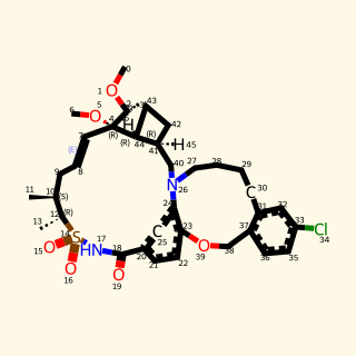 CO[C@H](C)[C@]1(OC)/C=C/C[C@H](C)[C@@H](C)S(=O)(=O)NC(=O)c2ccc3c(c2)N(CCCCc2cc(Cl)ccc2CO3)C[C@@H]2CC[C@H]21